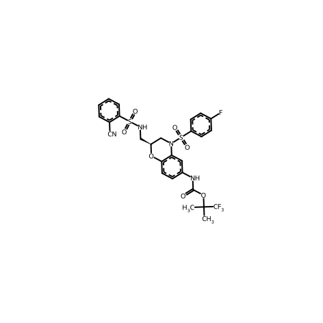 CC(C)(OC(=O)Nc1ccc2c(c1)N(S(=O)(=O)c1ccc(F)cc1)C[C@H](CNS(=O)(=O)c1ccccc1C#N)O2)C(F)(F)F